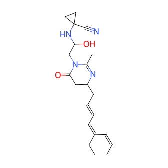 C/C=C\C(=C/C=CCC1CC(=O)N(CC(O)NC2(C#N)CC2)C(C)=N1)CC